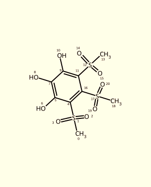 CS(=O)(=O)c1c(O)c(O)c(O)c(S(C)(=O)=O)c1S(C)(=O)=O